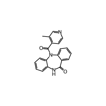 Cc1cnccc1C(=O)N1c2ccccc2NC(=O)c2ccccc21